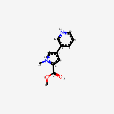 COC(=O)c1cc(-c2cccnc2)cn1C